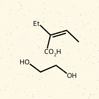 CC=C(CC)C(=O)O.OCCO